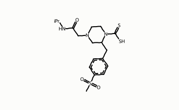 CC(C)NC(=O)CN1CCN(C(=S)S)C(Cc2ccc(S(C)(=O)=O)cc2)C1